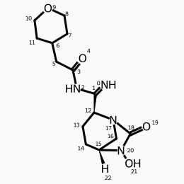 N=C(NC(=O)CC1CCOCC1)[C@@H]1CC[C@@H]2CN1C(=O)N2O